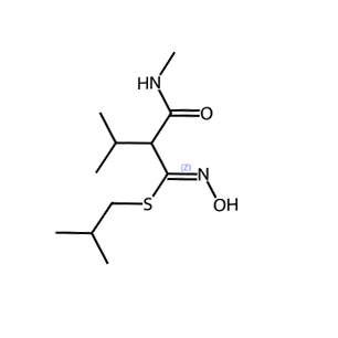 CNC(=O)C(/C(=N/O)SCC(C)C)C(C)C